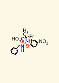 CC(C)C(C)(NP(=O)(NCc1ccccc1)Oc1ccc([N+](=O)[O-])cc1)C(=O)O